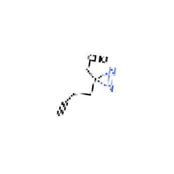 C#CCCC1(CC=O)N=N1